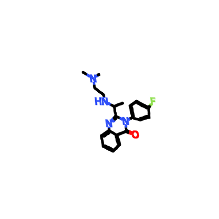 CC(NCCN(C)C)c1nc2ccccc2c(=O)n1-c1ccc(F)cc1